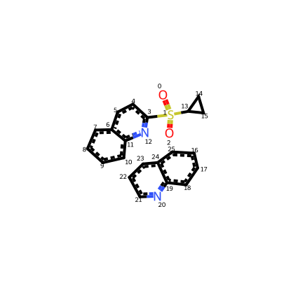 O=S(=O)(c1ccc2ccccc2n1)C1CC1.c1ccc2ncccc2c1